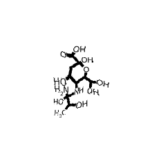 CC(O)C(N)(O)NC1C(O)CC(O)(C(=O)O)OC1C(O)O